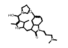 CC1=C(C(O)N2CCCC2)C(C)C(CC2C(=O)N(CCCN(C)C)C3CC=C(Cl)CC23)N1